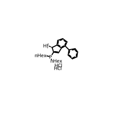 CCCCCCP(CCCCCC)C1=Cc2c(-c3ccccc3)cccc2[C@@H]1[Hf].Cl.Cl